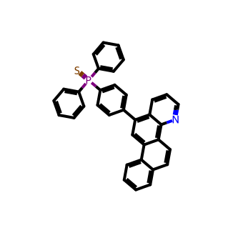 S=P(c1ccccc1)(c1ccccc1)c1ccc(-c2cc3c4ccccc4ccc3c3ncccc23)cc1